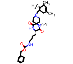 CCCN1C(=O)[C@H](CCCCNC(=O)OCc2ccccc2)NC(=O)C12CCN(CC1CC(C)=CC(C)C1C)CC2